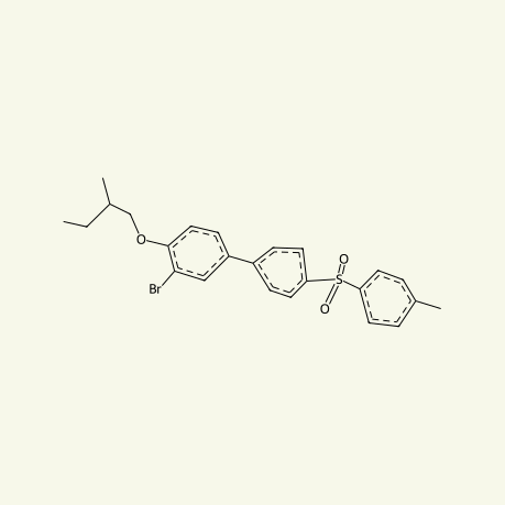 CCC(C)COc1ccc(-c2ccc(S(=O)(=O)c3ccc(C)cc3)cc2)cc1Br